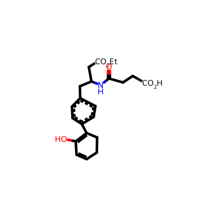 CCOC(=O)CC(Cc1ccc(C2=C(O)C=CCC2)cc1)NC(=O)CCC(=O)O